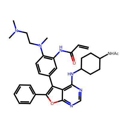 C=CC(=O)Nc1cc(-c2c(-c3ccccc3)oc3ncnc(NC4CCC(NC(C)=O)CC4)c23)ccc1N(C)CCN(C)C